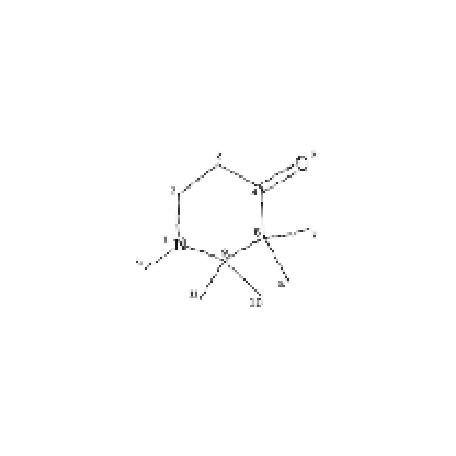 CN1CCC(=O)C(C)(C)C1(C)C